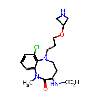 CN1C(=O)C(NC(=O)O)CCN(CCCOC2CNC2)c2c(Cl)cccc21